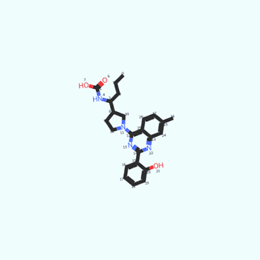 CCCC(NC(=O)O)C1CCN(c2nc(-c3ccccc3O)nc3cc(C)ccc23)C1